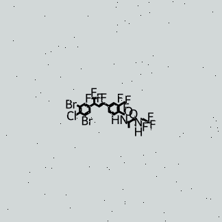 CC(NC(=O)c1ccc(/C(F)=C/C(c2cc(Br)c(Cl)c(Br)c2)C(F)(F)F)cc1C(F)(F)F)C(=O)NCC(F)(F)F